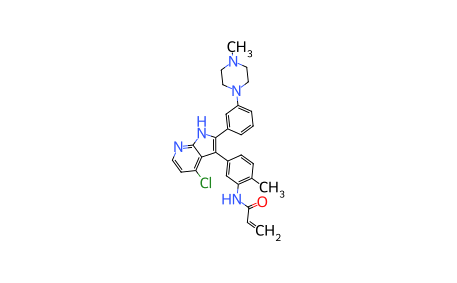 C=CC(=O)Nc1cc(-c2c(-c3cccc(N4CCN(C)CC4)c3)[nH]c3nccc(Cl)c23)ccc1C